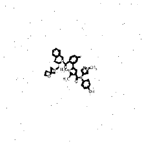 Cc1c(C(=O)N(c2ccc(O)cc2)c2cnn(C)c2)cc(-c2cc(F)ccc2C(=O)N2Cc3ccccc3C[C@H]2CN2CC3(CCO3)C2)n1C